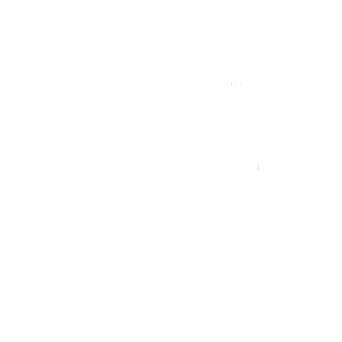 Cc1c(-c2cc(C(C)(C)C)cc(C(C)(C)C)c2)ccc2oc3cccc(-c4ccccc4)c3c12